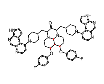 O=C(C(CC1CCN(c2ccnc3cnc4[nH]ccc4c23)CC1)N1CCCC(COc2ccc(F)cc2)C1)C(CC1CCN(c2ccnc3cnc4[nH]ccc4c23)CC1)N1CCCC(COc2ccc(F)cc2)C1